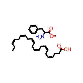 CC/C=C\C/C=C\C/C=C\C/C=C\C/C=C\C/C=C\CCC(=O)O.COC(=O)C(N)Cc1ccccc1